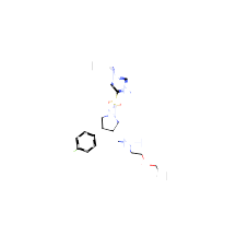 CCOCCNC[C@H]1CN(S(=O)(=O)c2cn(C)cn2)C[C@@H]1c1ccc(F)cc1